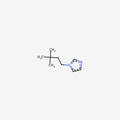 CC(C)(C)CCn1ccnc1